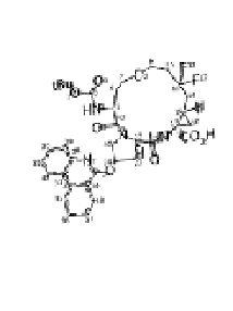 CC(C)(C)OC(=O)N[C@H]1CCCCCC(F)(F)C[C@@H]2C[C@@]2(C(=O)O)NC(=O)[C@@H]2C[C@@H](Oc3nc4ccccc4c4ccccc34)CN2C1=O